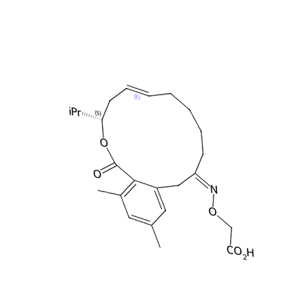 Cc1cc(C)c2c(c1)CC(=NOCC(=O)O)CCCC/C=C/C[C@@H](C(C)C)OC2=O